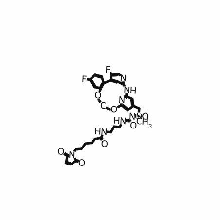 CS(=O)(Cc1cc2nc(c1)OCCCOc1cc(F)ccc1-c1cc(ncc1F)N2)=NC(=O)NCCCNC(=O)CCCCCN1C(=O)C=CC1=O